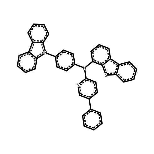 c1ccc(-c2ccc(N(c3ccc(-n4c5ccccc5c5ccccc54)cc3)c3cccc4c3sc3ccccc34)nc2)cc1